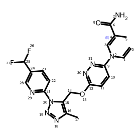 C=CN(/C=C(\C)C(N)=O)c1ccc(OCc2c(C)nnn2-c2ccc(C(F)F)cn2)nn1